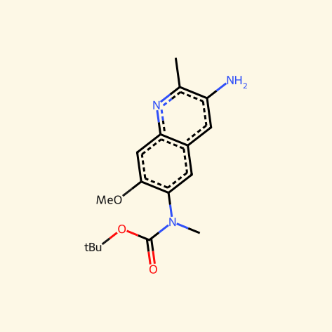 COc1cc2nc(C)c(N)cc2cc1N(C)C(=O)OC(C)(C)C